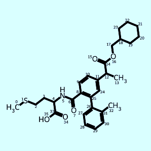 CSCCC(NC(=O)c1ccc(C(C)C(=O)OCC2CCCCC2)cc1-c1ccccc1C)C(=O)O